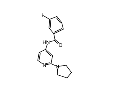 O=C(Nc1ccnc(N2CCCC2)c1)c1cccc(I)c1